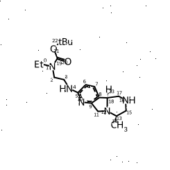 CCN(CCNc1ccc2c(n1)CN1[C@H](C)CNC[C@H]21)C(=O)OC(C)(C)C